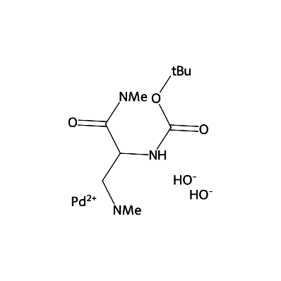 CNCC(NC(=O)OC(C)(C)C)C(=O)NC.[OH-].[OH-].[Pd+2]